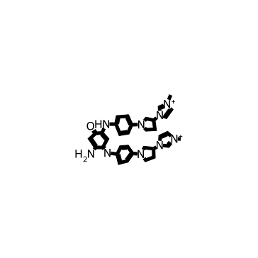 C[n+]1ccn(C2CCN(c3ccc(N=C4C=C(Nc5ccc(N6CCC(n7cc[n+](C)c7)C6)cc5)C(=O)C=C4N)cc3)C2)c1